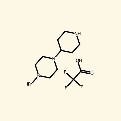 CC(C)N1CCN(C2CCNCC2)CC1.O=C(O)C(F)(F)F